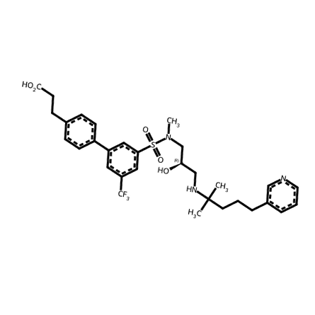 CN(C[C@H](O)CNC(C)(C)CCCc1cccnc1)S(=O)(=O)c1cc(-c2ccc(CCC(=O)O)cc2)cc(C(F)(F)F)c1